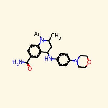 CC(=O)N1c2ccc(C(N)=O)cc2C(Nc2ccc(N3CCOCC3)cc2)CC1C